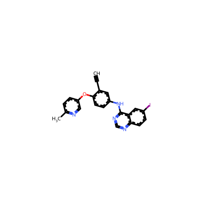 C#Cc1cc(Nc2ncnc3ccc(I)cc23)ccc1Oc1ccc(C)nc1